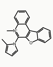 Cc1cccn1-c1c2oc3ccccc3c2c2ccccc2[n+]1C